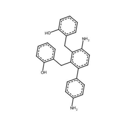 Nc1ccc(-c2ccc(N)c(Cc3ccccc3O)c2Cc2ccccc2O)cc1